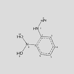 CCCNc1ccccc1N(O)O